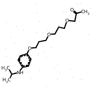 CC(=O)COCCCOCCCOc1ccc(NC(C)C)cc1